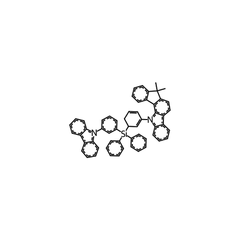 CC1(C)c2ccccc2-c2c1ccc1c3ccccc3n(C3=CC([Si](c4ccccc4)(c4ccccc4)c4cccc(-n5c6ccccc6c6ccccc65)c4)CC=C3)c21